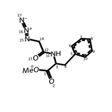 COC(=O)C(Cc1ccccc1)NC(=O)CN=[N+]=[N-]